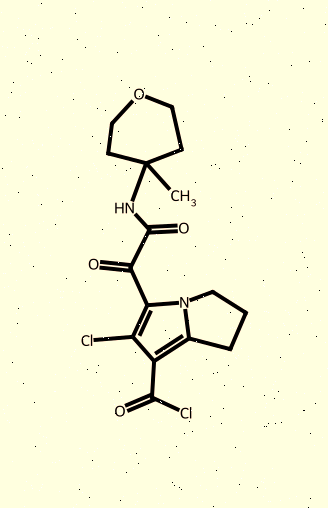 CC1(NC(=O)C(=O)c2c(Cl)c(C(=O)Cl)c3n2CCC3)CCOCC1